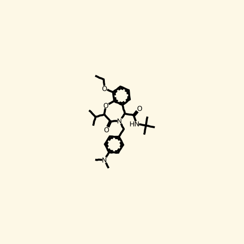 CCOc1cccc2c1OC(C(C)C)C(=O)N(Cc1ccc(N(C)C)cc1)C2C(=O)NC(C)(C)C